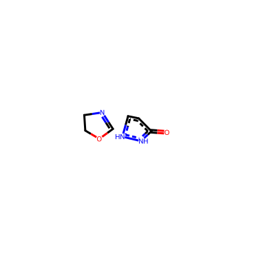 C1=NCCO1.O=c1cc[nH][nH]1